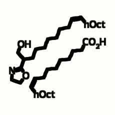 CCCCCCCC/C=C\CCCCCCCC(=O)O.CCCCCCCC/C=C\CCCCCCCC(CO)C1=NCCO1